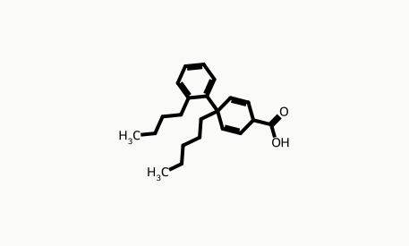 CCCCCC1(c2ccccc2CCCC)C=CC(C(=O)O)C=C1